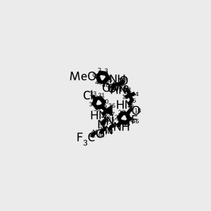 COc1ccc(NC(=O)C(=O)NCC(C)(C)CNC(=O)c2ccc(Nc3nc(NC4(c5ccc(Cl)cc5)CC4)nc(OCC(F)(F)F)n3)cc2F)c(OC)c1